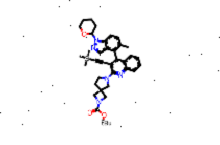 Cc1ccc2c(cnn2C2CCCCO2)c1-c1c(C#C[Si](C)(C)C)c(N2CCC3(CN(C(=O)OC(C)(C)C)C3)C2)nc2ccccc12